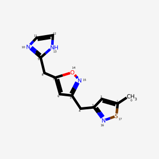 Cc1cc(Cc2cc(Cc3ncc[nH]3)on2)ns1